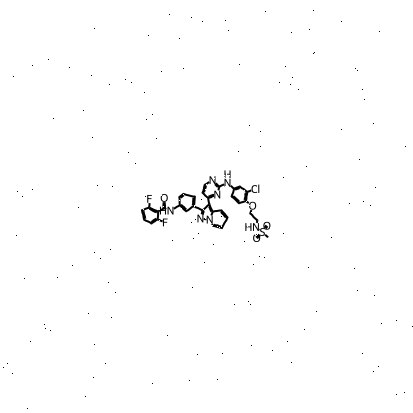 CS(=O)(=O)NCCOc1ccc(Nc2nccc(-c3c(-c4cccc(NC(=O)c5c(F)cccc5F)c4)nn4ccccc34)n2)cc1Cl